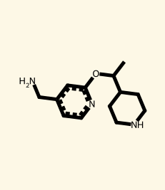 CC(Oc1cc(CN)ccn1)C1CCNCC1